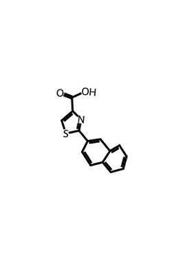 O=C(O)c1csc(-c2ccc3ccccc3c2)n1